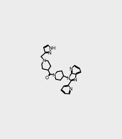 O=C(C1CCN(Cc2cc[nH]n2)CC1)N1CCC(n2c(-c3ccccn3)nc3cccnc32)CC1